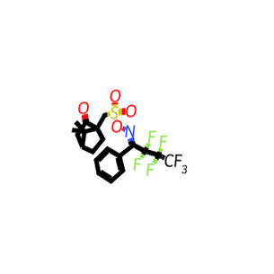 CC1(C)C2CCC1(CS(=O)(=O)ON=C(c1ccccc1)C(F)(F)C(F)(F)C(F)(F)F)C(=O)C2